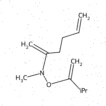 C=CCCC(=C)N(C)OC(=C)C(C)C